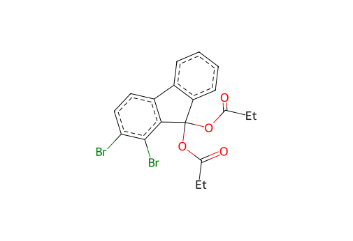 CCC(=O)OC1(OC(=O)CC)c2ccccc2-c2ccc(Br)c(Br)c21